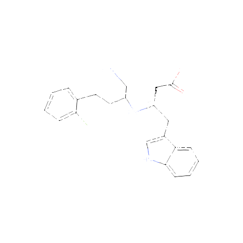 NCC(CCc1ccccc1F)N[C@@H](CC(=O)O)Cc1c[nH]c2ccccc12